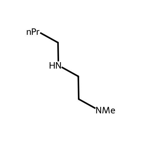 CCCCNCCNC